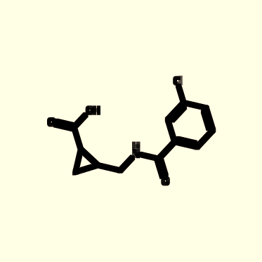 O=C(NCC1CC1C(=O)O)c1cccc(Cl)c1